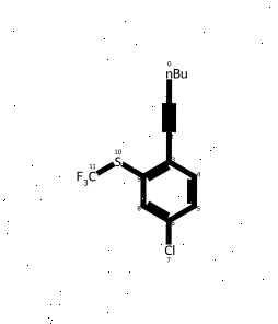 CCCCC#Cc1ccc(Cl)cc1SC(F)(F)F